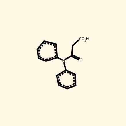 O=C(O)CC(=O)N(c1ccccc1)c1ccccc1